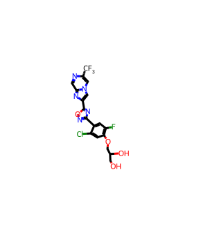 OCC(O)COc1cc(Cl)c(-c2noc(-c3cn4cc(C(F)(F)F)ncc4n3)n2)cc1F